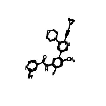 Cc1cc(F)c(NC(=O)c2ccnc(C(C)C)c2)cc1-c1cnc(C#CC2CC2)c(N2CCOCC2)c1